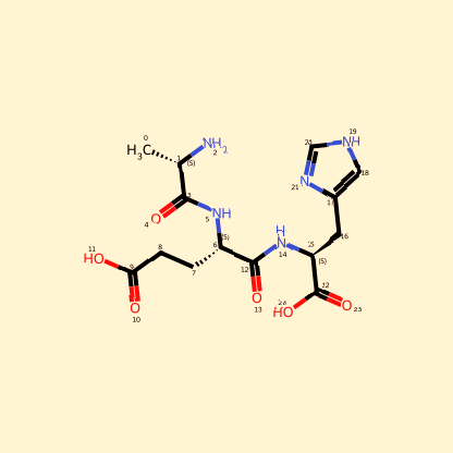 C[C@H](N)C(=O)N[C@@H](CCC(=O)O)C(=O)N[C@@H](Cc1c[nH]cn1)C(=O)O